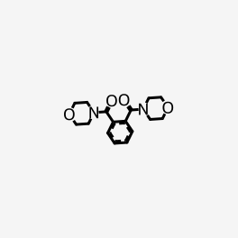 O=C(c1ccccc1C(=O)N1CCOCC1)N1CCOCC1